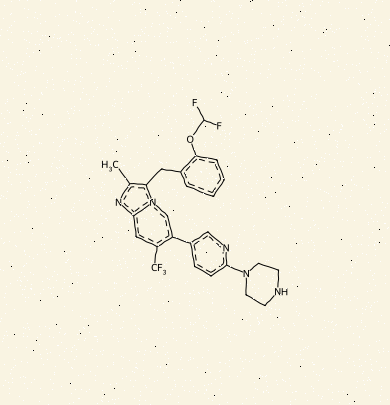 Cc1nc2cc(C(F)(F)F)c(-c3ccc(N4CCNCC4)nc3)cn2c1Cc1ccccc1OC(F)F